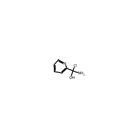 NC(O)(Cl)c1ccccn1